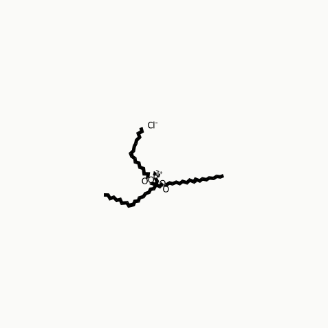 CCCCCCCCC=CCCCCCCCC(=O)OCC(CCCCCCCC/C=C\CCCCCCCC)(CC[N+](C)(C)C)COC(=O)CCCCCCC/C=C\CCCCCCCC.[Cl-]